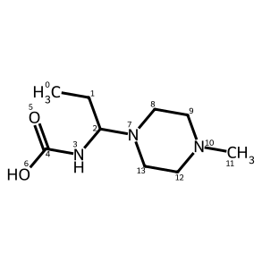 CCC(NC(=O)O)N1CCN(C)CC1